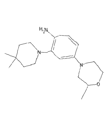 CC1CN(c2ccc(N)c(N3CCC(C)(C)CC3)c2)CCO1